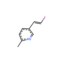 Cc1ccc(/C=C/I)cn1